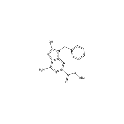 CCCCOC(=O)c1nc(N)c2nc(O)n(Cc3ccccc3)c2n1